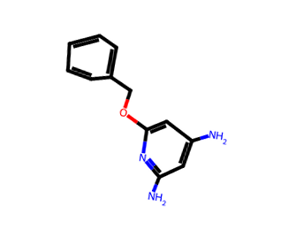 Nc1cc(N)nc(OCc2ccccc2)c1